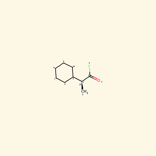 C[C@H](C(=O)F)C1CCCCC1